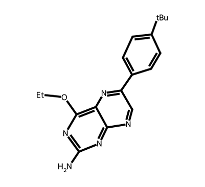 CCOc1nc(N)nc2ncc(-c3ccc(C(C)(C)C)cc3)nc12